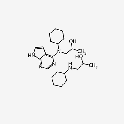 CC(O)CN(c1ncnc2[nH]ccc12)C1CCCCC1.CC(O)CNC1CCCCC1